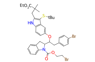 CCOC(=O)C(C)(C)Cc1[nH]c2ccc(OC(Cc3ccc(Br)cc3)C3Cc4ccccc4N3C(=O)OCCBr)cc2c1SC(C)(C)C